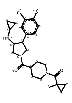 CC1(C(=O)N2CCC(C(=O)N3CC(NC4CC4)C(c4ccc(Cl)c(Cl)c4)C3)CC2)CC1